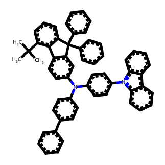 CC(C)(C)c1cccc2c1-c1ccc(N(c3ccc(-c4ccccc4)cc3)c3ccc(-n4c5ccccc5c5ccccc54)cc3)cc1C2(c1ccccc1)c1ccccc1